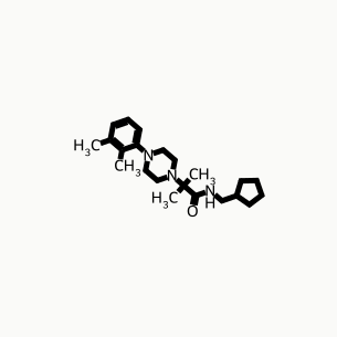 Cc1cccc(N2CCN(C(C)(C)C(=O)NCC3CCCC3)CC2)c1C